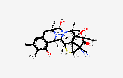 COc1c(C)cc2c(c1O)[C@@H]1[C@@H]3[C@@H]4SC[C@H](N)C(=O)OC[C@@H](c5c(O)c(OC)c(C)c(OC(C)=O)c54)N3[C@@H](O)[C@H](C2)N1C